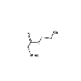 CCCCCCC(=O)OCCC(C)(C)C